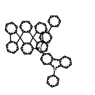 c1ccc(-c2ccc(N(c3ccc4c(c3)c3ccccc3n4-c3ccccc3)c3cccc4c3C3(c5ccccc5-c5ccccc53)c3ccccc3C43c4ccccc4-c4ccccc43)cc2)cc1